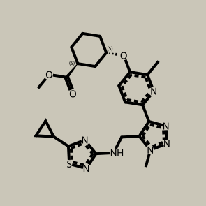 COC(=O)[C@H]1CCC[C@H](Oc2ccc(-c3nnn(C)c3CNc3nsc(C4CC4)n3)nc2C)C1